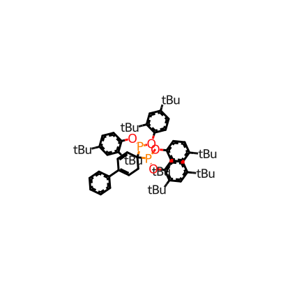 CC(C)(C)c1ccc(OP(Oc2ccc(C(C)(C)C)cc2C(C)(C)C)C2(P(Oc3ccc(C(C)(C)C)cc3C(C)(C)C)Oc3ccc(C(C)(C)C)cc3C(C)(C)C)C=CC(c3ccccc3)=CC2)c(C(C)(C)C)c1